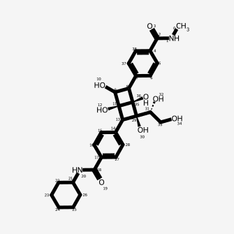 CNC(=O)c1ccc(C2C(O)[C@@]3(O)C(c4ccc(C(=O)NC5CCCCC5)cc4)[C@@](O)([C@H](O)CO)[C@@]23O)cc1